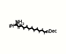 CCCCCCCCCCCCCCCCCCCCCC(N)C(C)C